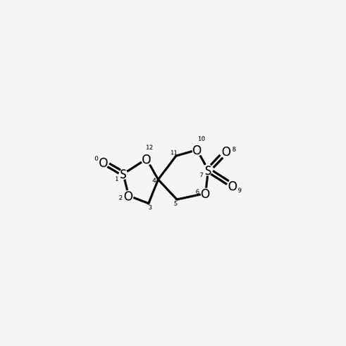 O=S1OCC2(COS(=O)(=O)OC2)O1